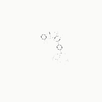 Nc1ncc(-c2ccc(C(=O)N3CCNC(C(=O)O)C3)cc2)nc1NCc1c(Cl)cccc1Cl